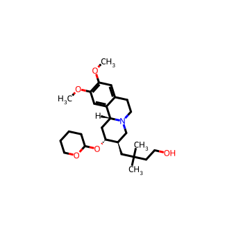 COc1cc2c(cc1OC)[C@H]1C[C@@H](OC3CCCCO3)[C@H](CC(C)(C)CCO)CN1CC2